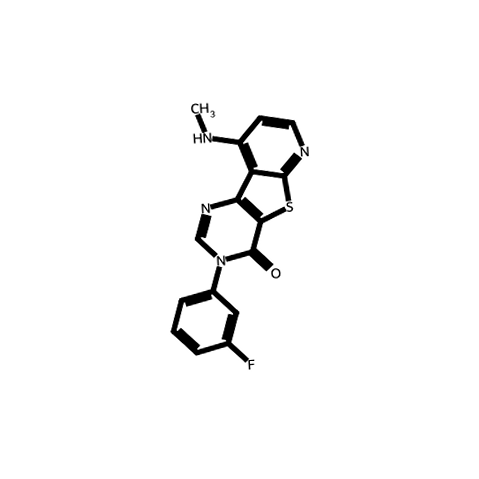 CNc1ccnc2sc3c(=O)n(-c4cccc(F)c4)cnc3c12